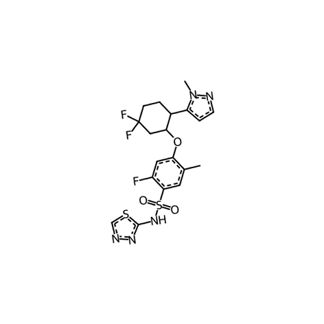 Cc1cc(S(=O)(=O)Nc2nncs2)c(F)cc1OC1CC(F)(F)CCC1c1ccnn1C